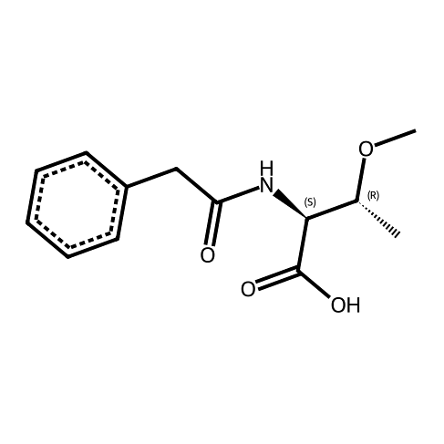 CO[C@H](C)[C@H](NC(=O)Cc1ccccc1)C(=O)O